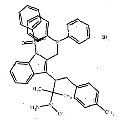 B.Cc1ccc(CC(c2c(CP(c3ccccc3)c3ccccc3)n(S(=O)(=O)c3ccccc3)c3ccccc23)C(C)(C)[S+](N)[O-])cc1